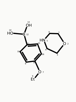 C1COCCN1.CCOc1ccc(B(O)O)cc1